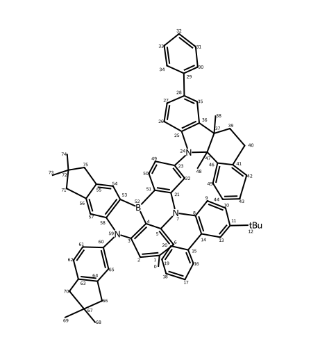 Cc1cc2c3c(c1)N(c1ccc(C(C)(C)C)cc1-c1ccccc1)c1cc(N4c5ccc(-c6ccccc6)cc5C5(C)CCc6ccccc6C45C)ccc1B3c1cc3c(cc1N2c1ccc2c(c1)CC(C)(C)C2)CC(C)(C)C3